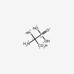 CCCC(N)(C(=O)O)P(=O)(O)O